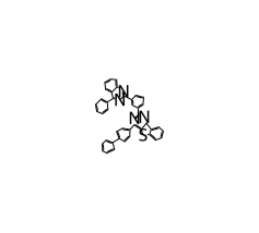 c1ccc(-c2ccc(-c3nc(-c4cccc(-c5nc(-c6ccccc6)c6ccccc6n5)c4)nc4c3sc3ccccc34)cc2)cc1